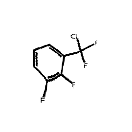 Fc1cccc(C(F)(F)Cl)c1F